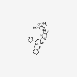 N=C(/C=C(\NCc1ccccc1F)c1ccon1)c1ncc(F)c(NC[C@@](O)(C(N)=O)C(F)(F)F)n1